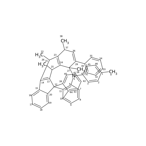 Cc1ccc(N2c3cccc4c3C3(C5=C(c6ccccc63)C(C)C3=C(C5C)C2(C)C(c2ccccc2)=CC3C)c2ccccc2-4)cc1